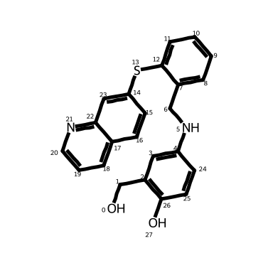 OCc1cc(NCc2ccccc2Sc2ccc3cccnc3c2)ccc1O